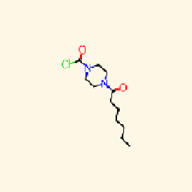 CCCCCCC(=O)N1CCN(C(=O)Cl)CC1